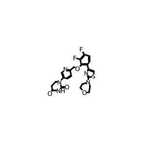 O=C1CCN(c2ccc(COc3c(-c4csc(N5CCOCC5)n4)ccc(F)c3F)nc2)C(=O)N1